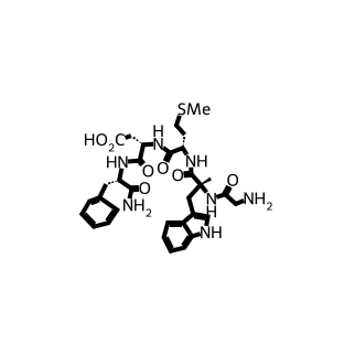 CSCC[C@H](NC(=O)[C@@](C)(Cc1c[nH]c2ccccc12)NC(=O)CN)C(=O)N[C@@H](CC(=O)O)C(=O)N[C@@H](Cc1ccccc1)C(N)=O